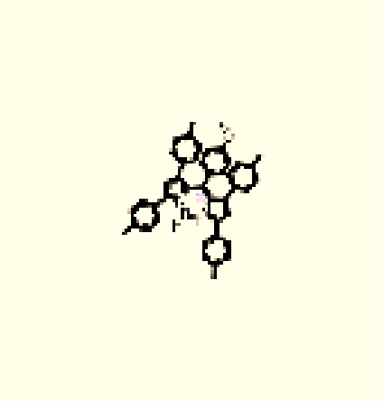 COc1ccc(/C(=C2/N=C(c3ccc(C)cc3)C=C2c2ccc(C)cc2)c2c(-c3ccc(C)cc3)cc(-c3ccc(C)cc3)n2B(F)F)cc1